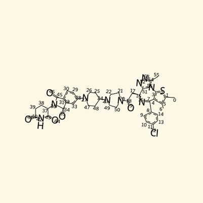 Cc1sc2c(c1C)C(c1ccc(Cl)cc1)=N[C@@H](CC(=O)N1CCN(C3CCN(c4ccc5c(c4)C(=O)N(C4CCC(=O)NC4=O)C5=O)CC3)CC1)c1nnc(C)n1-2